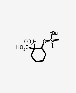 CC(C)(C)[Si](C)(C)OC1CCCCC1(C(=O)O)C(=O)O